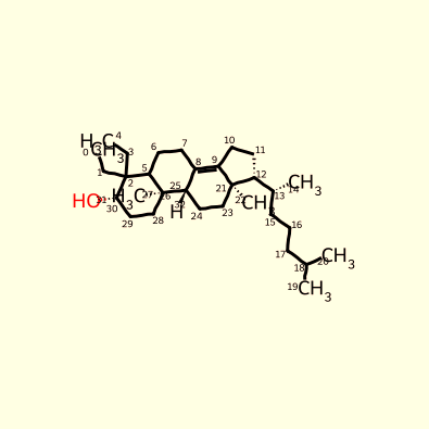 CCC1(CC)C2CCC3=C4CC[C@H]([C@H](C)CCCC(C)C)[C@@]4(C)CC[C@@H]3[C@@]2(C)CC[C@@H]1O